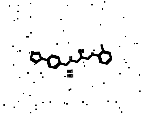 Cc1ccccc1OCC(O)CNCc1ccc(-n2ccnc2)cc1.Cl.Cl